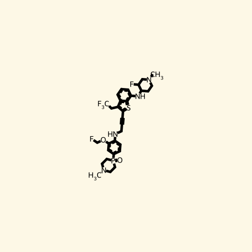 CN1CCP(=O)(c2ccc(NCC#Cc3sc4c(NC5CCN(C)CC5F)cccc4c3CC(F)(F)F)c(OCF)c2)CC1